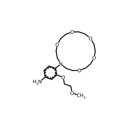 COCCOc1cc(N)ccc1N1CCOCCOCCOCCOCCOCC1